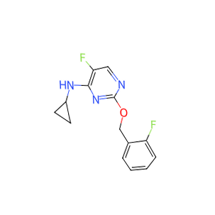 Fc1ccccc1COc1ncc(F)c(NC2CC2)n1